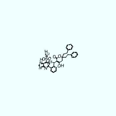 CCC(C1=C(O)CC(CCc2ccccc2)(CCc2ccccc2)OC1=O)c1ccccc1-c1nc(S(N)(=O)=O)c2[nH]cnc2n1